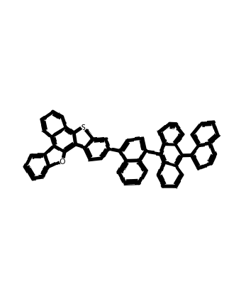 c1ccc2c(-c3c4ccccc4c(-c4ccc(-c5ccc6c(c5)sc5c7ccccc7c7c8ccccc8oc7c65)c5ccccc45)c4ccccc34)cccc2c1